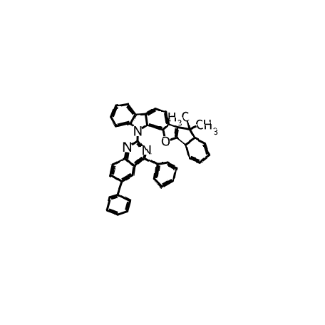 CC1(C)c2c(oc3c2ccc2c4ccccc4n(-c4nc(-c5ccccc5)c5cc(-c6ccccc6)ccc5n4)c23)C2C=CC=CC21